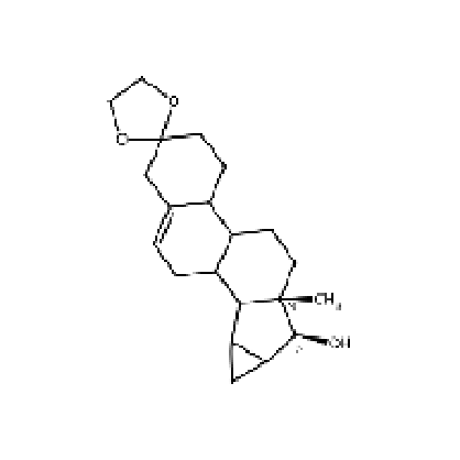 C[C@]12CCC3C4CCC5(CC4=CCC3C1C1CC1[C@@H]2O)OCCO5